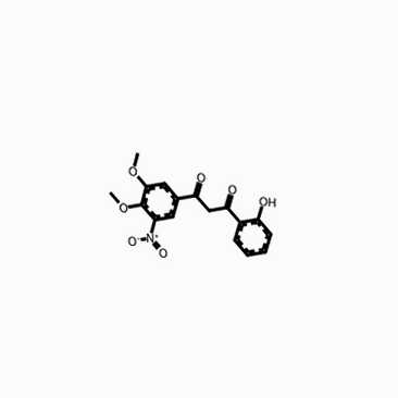 COc1cc(C(=O)CC(=O)c2ccccc2O)cc([N+](=O)[O-])c1OC